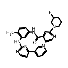 Cc1ccc(NC(=O)c2ccnc(N3CCCC(F)C3)c2)cc1Nc1nccc(-c2cccnc2)n1